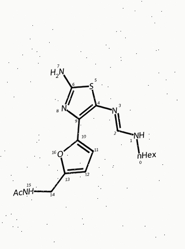 CCCCCCNC=Nc1sc(N)nc1-c1ccc(CNC(C)=O)o1